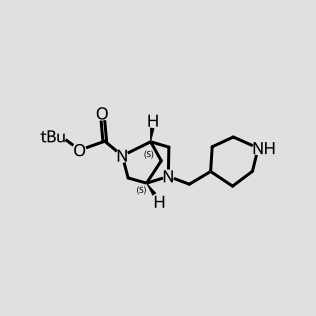 CC(C)(C)OC(=O)N1C[C@@H]2C[C@H]1CN2CC1CCNCC1